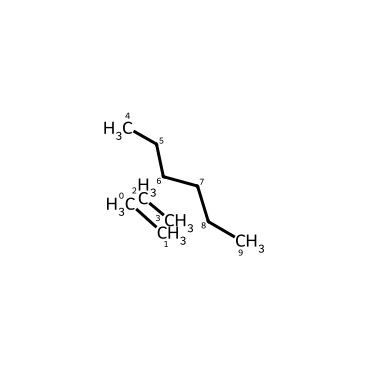 CC.CC.CCCCCC